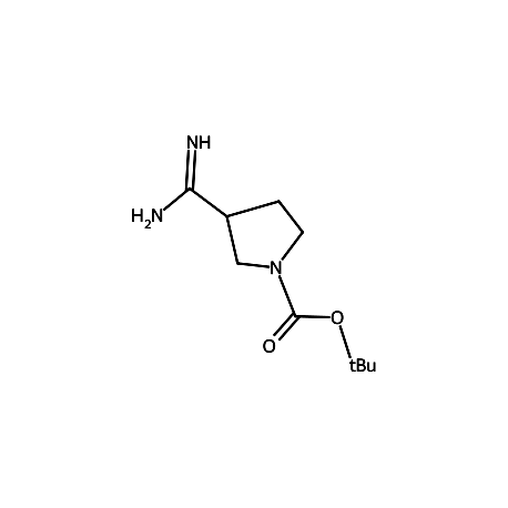 CC(C)(C)OC(=O)N1CCC(C(=N)N)C1